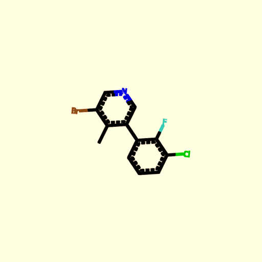 Cc1c(Br)cncc1-c1cccc(Cl)c1F